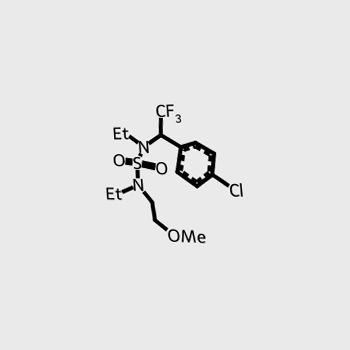 CCN(CCOC)S(=O)(=O)N(CC)C(c1ccc(Cl)cc1)C(F)(F)F